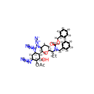 CC[C@@H]([C@@H]1CCC(N=[N+]=[N-])C([C@@H]2C(N=[N+]=[N-])CC(N=[N+]=[N-])[C@H](OC(C)=O)[C@H]2O)O1)N(Cc1ccccc1)C(=O)OCc1ccccc1